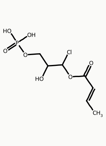 CC=CC(=O)OC(Cl)C(O)COP(=O)(O)O